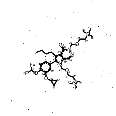 CCCCc1c(-c2ccc(OC(F)F)c(OC3CC3)c2)n(COCC[Si](C)(C)C)c2cnn(COCC[Si](C)(C)C)c(=O)c12